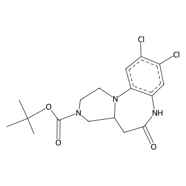 CC(C)(C)OC(=O)N1CCN2c3cc(Cl)c(Cl)cc3NC(=O)CC2C1